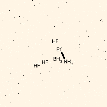 B.CCN.F.F.F